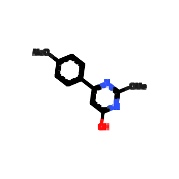 COc1ccc(-c2cc(O)nc(OC)n2)cc1